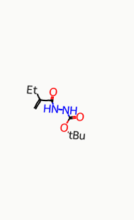 C=C(CC)C(=O)NNC(=O)OC(C)(C)C